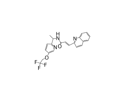 CC(NC(=O)C=Cc1ccc2ccccc2n1)c1ccc(OCC(F)(F)F)cn1